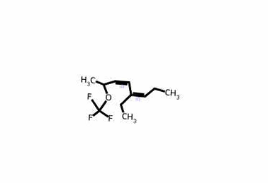 CC/C=C(\C=C/C(C)OC(F)(F)F)CC